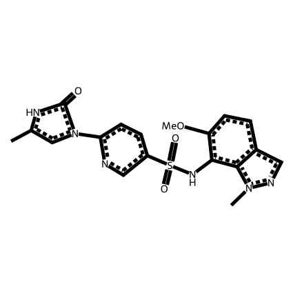 COc1ccc2cnn(C)c2c1NS(=O)(=O)c1ccc(-n2cc(C)[nH]c2=O)nc1